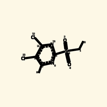 CCS(=O)(=O)c1nc(C)c(Cl)c(Cl)n1